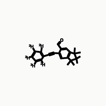 [2H]c1c([2H])c([2H])c(C#Cc2cc3c(cc2C=O)C(C)(C)C(C)(C)C3(C)C)c([2H])c1[2H]